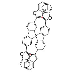 c1ccc2oc(-c3ccc4c(c3)C3(c5cc(-c6cc7ccccc7o6)ccc5-4)c4cc(-c5cc6ccccc6o5)ccc4-c4ccc(-c5cc6ccccc6o5)cc43)cc2c1